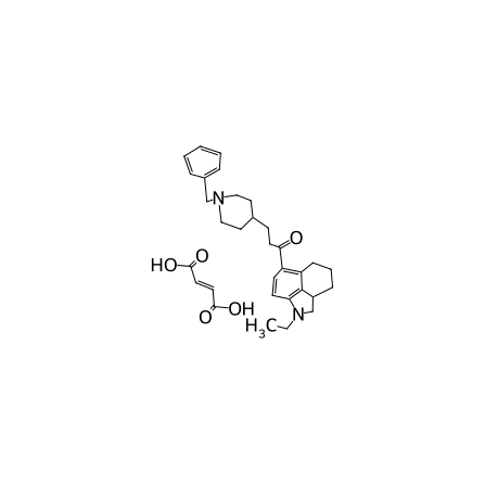 CCN1CC2CCCc3c(C(=O)CCC4CCN(Cc5ccccc5)CC4)ccc1c32.O=C(O)C=CC(=O)O